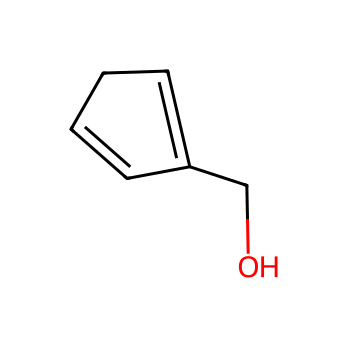 OCC1=CCC=C1